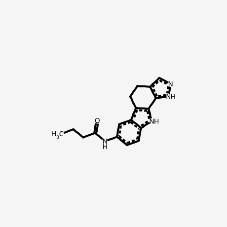 CCCC(=O)Nc1ccc2[nH]c3c(c2c1)CCc1cn[nH]c1-3